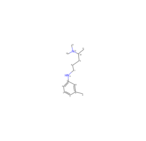 Cc1cccc(NCCCC(C)N(C)C)c1